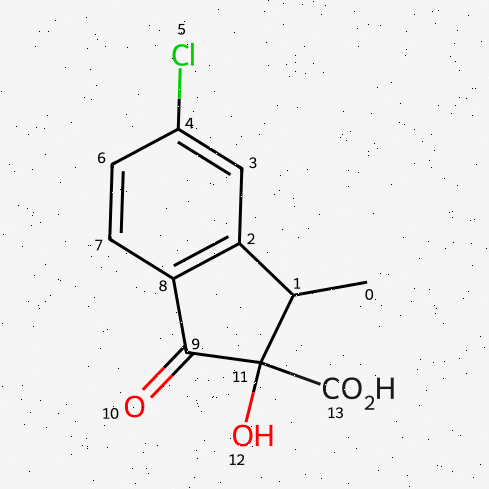 CC1c2cc(Cl)ccc2C(=O)C1(O)C(=O)O